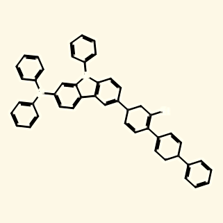 CCC1=C(C2=CCC(c3ccccc3)C=C2)C=CC(c2ccc3c(c2)c2ccc(N(c4ccccc4)c4ccccc4)cc2n3-c2ccccc2)C1